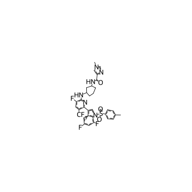 Cc1ccc(S(=O)(=O)n2cc(-c3nc(NC4CCCC(NC(=O)c5cn(C)cn5)C4)c(F)cc3C(F)(F)F)c3cc(F)cc(F)c32)cc1